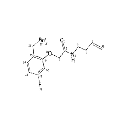 C=CCCNC(=O)COc1cc(F)ccc1CN